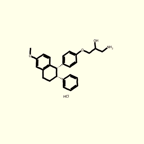 COc1ccc2c(c1)CC[C@@H](c1ccccc1)[C@H]2c1ccc(OCC(O)CN)cc1.Cl